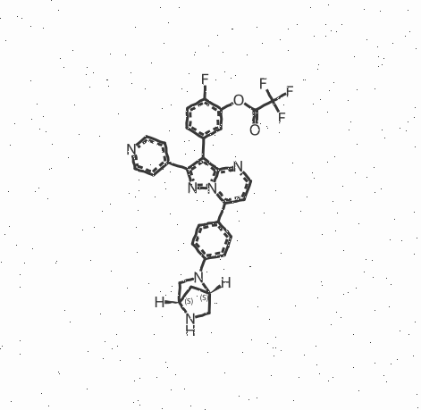 O=C(Oc1cc(-c2c(-c3ccncc3)nn3c(-c4ccc(N5C[C@@H]6C[C@H]5CN6)cc4)ccnc23)ccc1F)C(F)(F)F